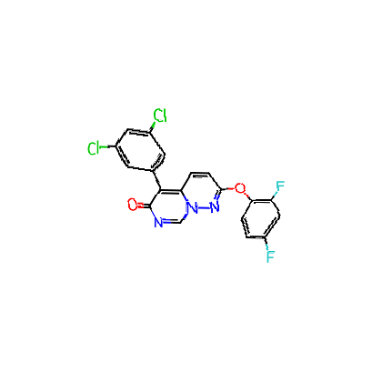 O=c1ncn2nc(Oc3ccc(F)cc3F)ccc2c1-c1cc(Cl)cc(Cl)c1